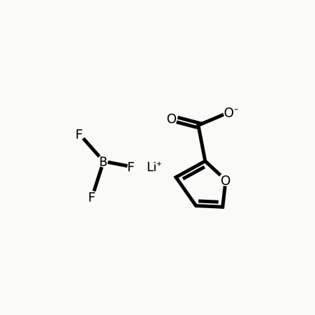 FB(F)F.O=C([O-])c1ccco1.[Li+]